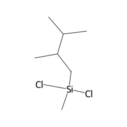 CC(C)C(C)C[Si](C)(Cl)Cl